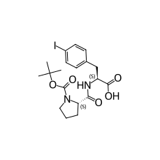 CC(C)(C)OC(=O)N1CCC[C@H]1C(=O)N[C@@H](Cc1ccc(I)cc1)C(=O)O